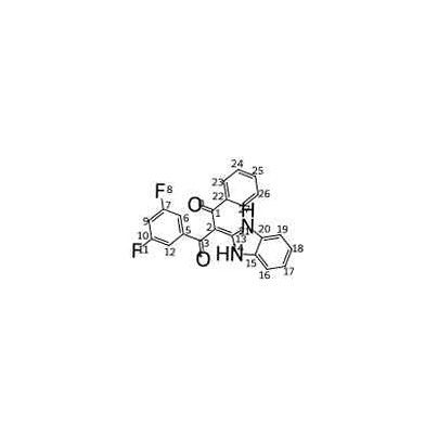 O=C(C(C(=O)c1cc(F)cc(F)c1)=C1Nc2ccccc2N1)c1ccccc1